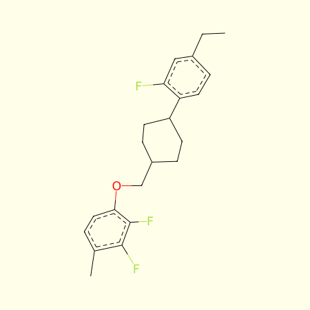 CCc1ccc(C2CCC(COc3ccc(C)c(F)c3F)CC2)c(F)c1